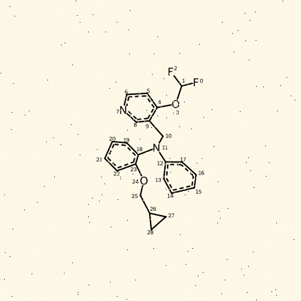 FC(F)Oc1ccncc1CN(c1ccccc1)c1ccccc1OCC1CC1